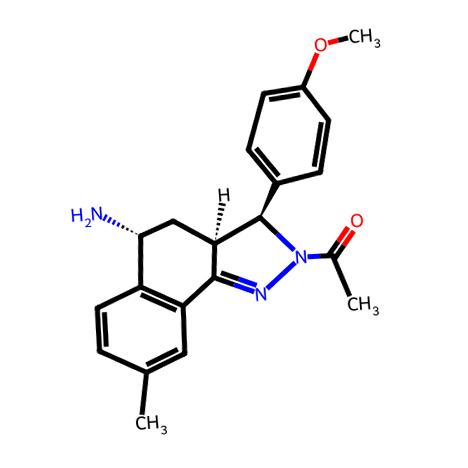 COc1ccc([C@@H]2[C@@H]3C[C@@H](N)c4ccc(C)cc4C3=NN2C(C)=O)cc1